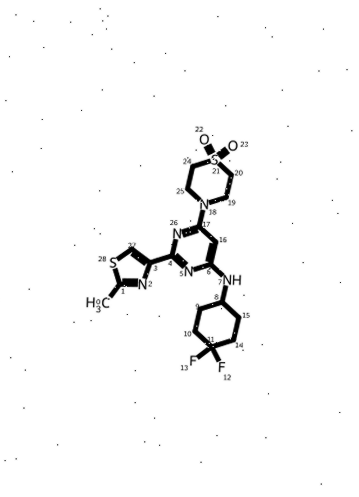 Cc1nc(-c2nc(NC3CCC(F)(F)CC3)cc(N3CCS(=O)(=O)CC3)n2)cs1